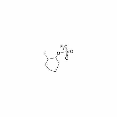 O=S(=O)(OC1CCCCC1F)C(F)(F)F